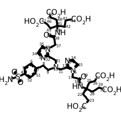 NS(=O)(=O)c1ccc(CCN(Cc2nccn2CC(=O)NC(CCC(=O)O)(CCC(=O)O)CCC(=O)O)Cc2nccn2CC(=O)NC(CCC(=O)O)(CCC(=O)O)CCC(=O)O)cc1